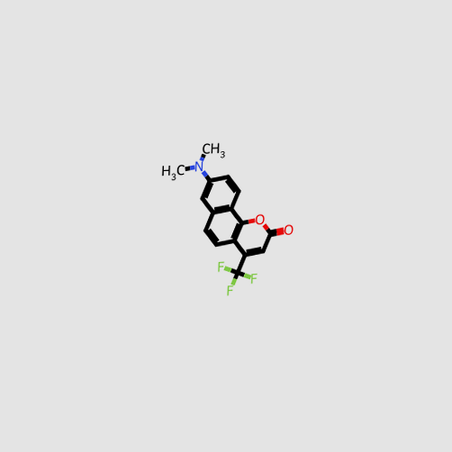 CN(C)c1ccc2c(ccc3c(C(F)(F)F)cc(=O)oc32)c1